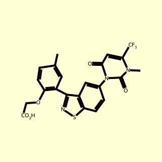 Cc1ccc(OCC(=O)O)c(-c2nsc3ccc(-n4c(=O)cc(C(F)(F)F)n(C)c4=O)cc23)c1